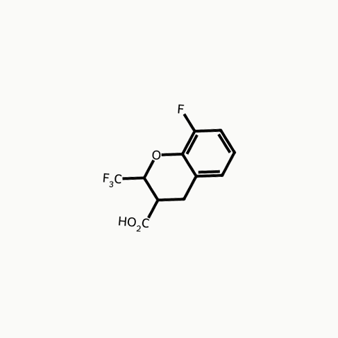 O=C(O)C1Cc2cccc(F)c2OC1C(F)(F)F